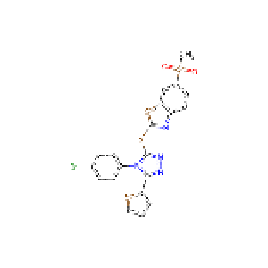 CS(=O)(=O)c1ccc2nc(Sc3nnc(-c4cccs4)n3-c3ccc(Br)cc3)sc2c1